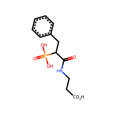 O=C(O)CCNC(=O)C(Cc1ccccc1)P(=O)(O)O